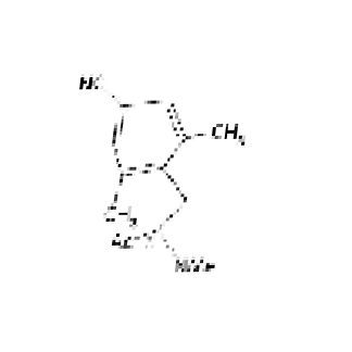 CN[C@@H](Cc1c(C)cc(C#N)cc1C)C(C)=O